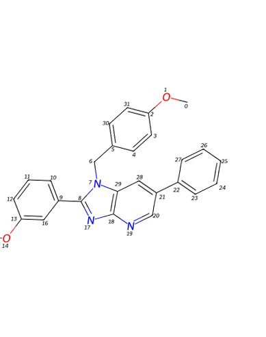 COc1ccc(Cn2c(-c3cccc(OC)c3)nc3ncc(-c4ccccc4)cc32)cc1